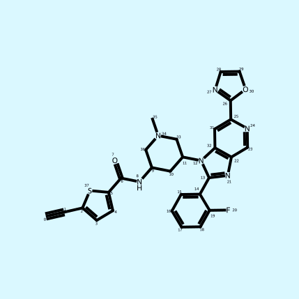 C#Cc1ccc(C(=O)NC2CC(n3c(-c4ccccc4F)nc4cnc(-c5ncco5)cc43)CN(C)C2)s1